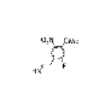 COc1cc(F)c(CC=N)cc1[N+](=O)[O-]